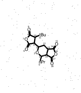 CCCC1OC(C2C(=O)OC(=O)C2C(C)(C)C)CC2C(=O)OC(=O)C12